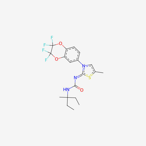 CCC(C)(CC)NC(=O)N=c1sc(C)cn1-c1ccc2c(c1)OC(F)(F)C(F)(F)O2